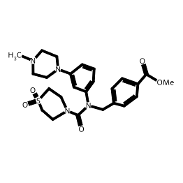 COC(=O)c1ccc(CN(C(=O)N2CCS(=O)(=O)CC2)c2cccc(N3CCN(C)CC3)c2)cc1